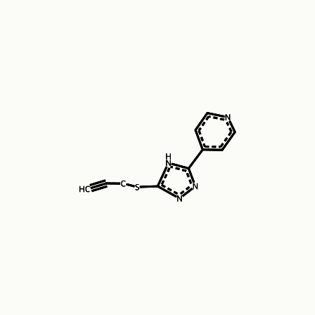 C#CCSc1nnc(-c2ccncc2)[nH]1